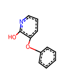 Oc1ncccc1Oc1ccccc1